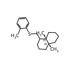 Cc1ccccc1SCC1CCC[C@@]2(C)CCCC[C@@]12C